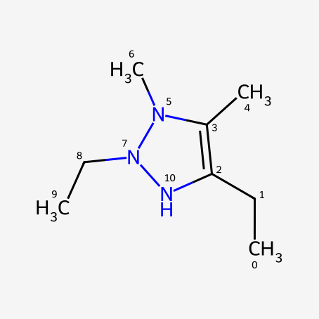 CCC1=C(C)N(C)N(CC)N1